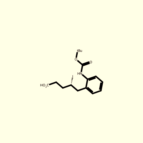 CC(C)(C)OC(=O)Nc1ccccc1C[C@@H](I)CCC(=O)O